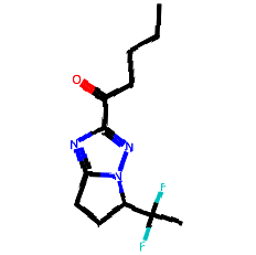 CCCCC(=O)c1nc2n(n1)C(C(C)(F)F)CC2